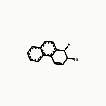 BrC1C=Cc2c(ccc3ccccc23)C1Br